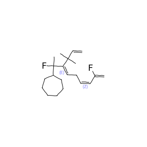 C=CC(C)(C)/C(=C\C/C=C\C(=C)F)C(C)(F)C1CCCCCC1